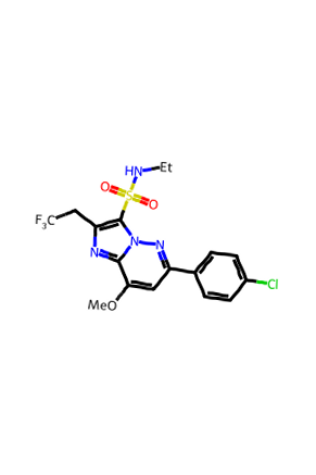 CCNS(=O)(=O)c1c(CC(F)(F)F)nc2c(OC)cc(-c3ccc(Cl)cc3)nn12